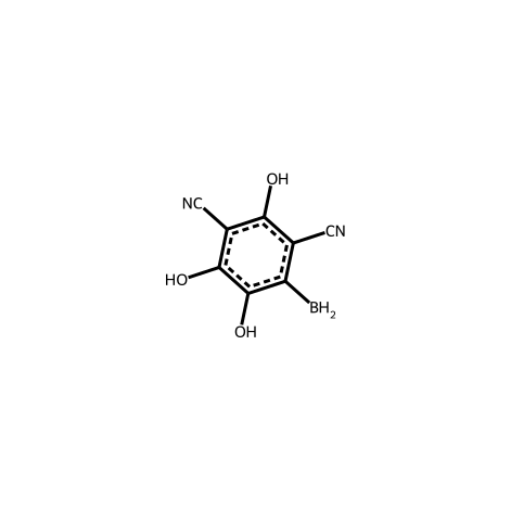 Bc1c(O)c(O)c(C#N)c(O)c1C#N